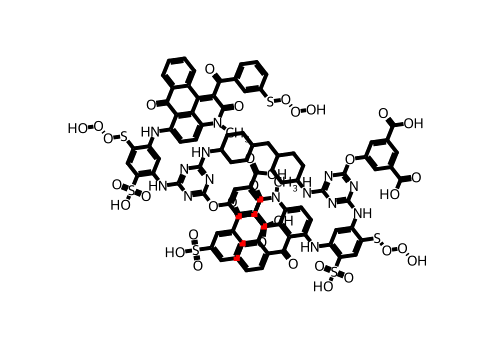 Cn1c(=O)c(C(=O)c2cccc(SOOO)c2)c2c3c(c(Nc4cc(Nc5nc(NC6CCC(CC7CCC(Nc8nc(Nc9cc(Nc%10ccc%11c%12c%10C(=O)c%10ccccc%10-c%12c(C(=O)c%10cccc(S(=O)(=O)O)c%10)c(=O)n%11C)c(S(=O)(=O)O)cc9SOOO)nc(Oc9cc(C(=O)O)cc(C(=O)O)c9)n8)CC7)CC6)nc(Oc6cc(C(=O)O)cc(C(=O)O)c6)n5)c(S(=O)(=O)O)cc4SOOO)ccc31)C(=O)c1ccccc1-2